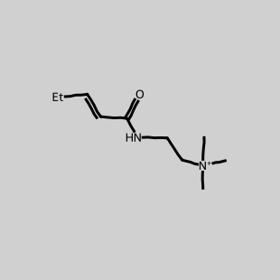 CCC=CC(=O)NCC[N+](C)(C)C